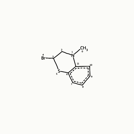 CN1CC(Br)Sc2ccccc21